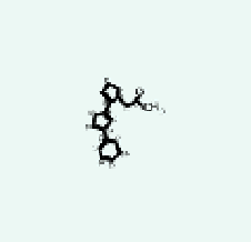 CC(=O)CC1=CCC=C1C1=CC(c2ccccc2)=CC1